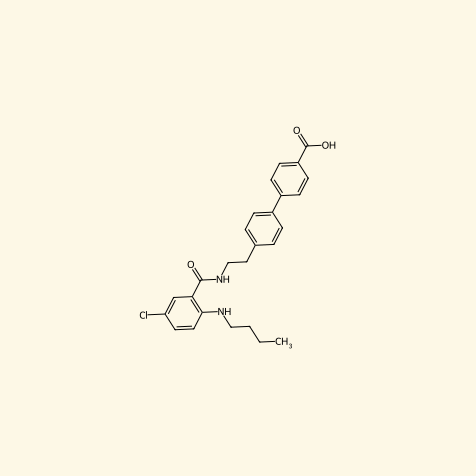 CCCCNc1ccc(Cl)cc1C(=O)NCCc1ccc(-c2ccc(C(=O)O)cc2)cc1